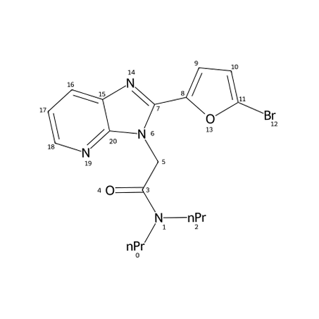 CCCN(CCC)C(=O)Cn1c(-c2ccc(Br)o2)nc2cccnc21